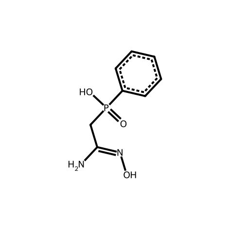 NC(CP(=O)(O)c1ccccc1)=NO